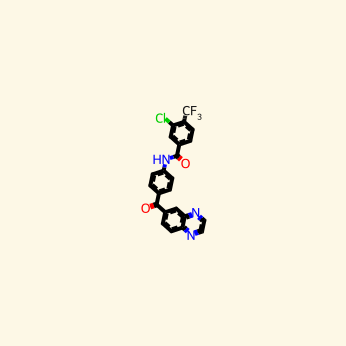 O=C(Nc1ccc(C(=O)c2ccc3nccnc3c2)cc1)c1ccc(C(F)(F)F)c(Cl)c1